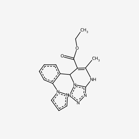 CCOC(=O)C1=C(C)Nc2nnnn2C1c1ccccc1-n1cccn1